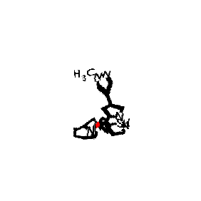 Cn1cc(-c2cc3c(N4CC5CCC(C4)N5[C@H]4C[C@H](S)C4)ccnn3c2)cn1